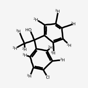 [2H]c1c([2H])c([2H])c(C(O)(c2c([2H])c([2H])c(Cl)c([2H])c2[2H])C([2H])([2H])[2H])c([2H])c1[2H]